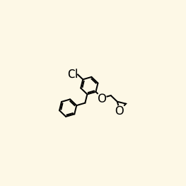 Clc1ccc(OCC2CO2)c(Cc2ccccc2)c1